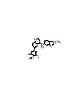 CN(C)Cc1ccc(Nc2[c]cnc3ccc(-c4cc(F)c(O)c(Cl)c4)cc23)cc1